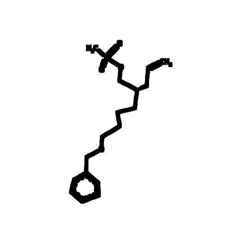 C=CC[C@@H](CCCCOCc1ccccc1)COS(C)(=O)=O